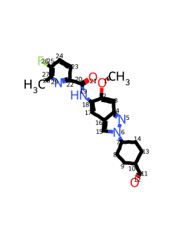 COc1cc2nn(C3CCC(C=O)CC3)cc2cc1NC(=O)c1ccc(F)c(C)n1